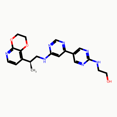 C[C@H](CNc1cc(-c2cnc(NCCO)nc2)ncn1)c1ccnc2c1OCCO2